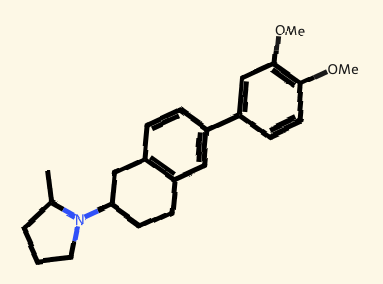 COc1ccc(-c2ccc3c(c2)CCC(N2CCCC2C)C3)cc1OC